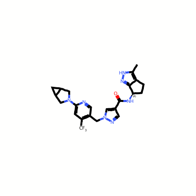 Cc1[nH]nc2c1CC[C@H]2NC(=O)c1cnn(Cc2cnc(N3CC4CC4C3)cc2C(F)(F)F)c1